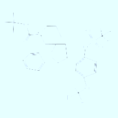 CC(C)(C)OC(=O)N1CCC[C@@]2(C[C@H](c3cc(OC(F)(F)F)ccc3OS(=O)(=O)C(F)(F)F)CO2)[C@@H]1c1ccccc1